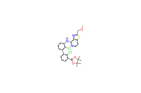 COCc1nc2c(Nc3cccc(-c4cccc(B5OC(C)(C)C(C)(C)O5)c4Cl)c3Cl)nccc2s1